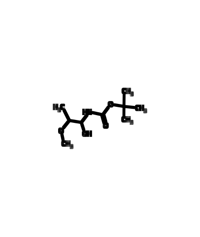 COC(C)C(O)NC(=O)OC(C)(C)C